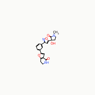 CN1CC[C@@](O)(c2cc(-c3cccc(-c4cc5c(o4)CCNC5=O)c3)no2)C1=O